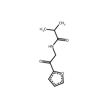 CC(C)C(=O)NCC(=O)c1ccco1